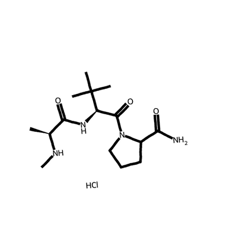 CN[C@@H](C)C(=O)N[C@H](C(=O)N1CCCC1C(N)=O)C(C)(C)C.Cl